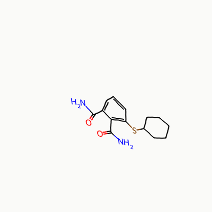 NC(=O)c1cccc(SC2CCCCC2)c1C(N)=O